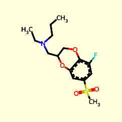 CCCN(CC)CC1COc2c(F)cc(S(C)(=O)=O)cc2O1